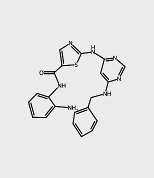 Nc1ccccc1NC(=O)c1cnc(Nc2cc(NCc3ccccc3)ncn2)s1